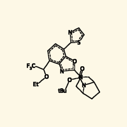 CCOC(c1ccc(-c2nccs2)c2oc(N3CC4CCC(C3)N4C(=O)OC(C)(C)C)nc12)C(F)(F)F